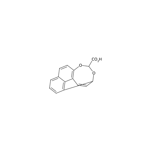 O=C(O)C1Oc2ccc3cccc4c3c2C=CC4O1